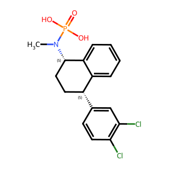 CN([C@H]1CC[C@@H](c2ccc(Cl)c(Cl)c2)c2ccccc21)P(=O)(O)O